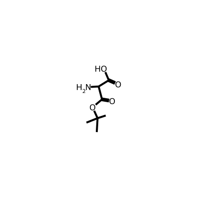 CC(C)(C)OC(=O)C(N)C(=O)O